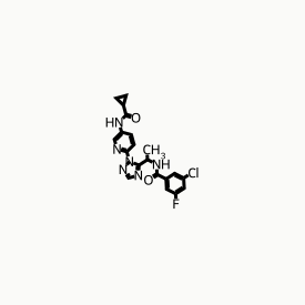 CC(NC(=O)c1cc(F)cc(Cl)c1)c1ncnn1-c1ccc(NC(=O)C2CC2)cn1